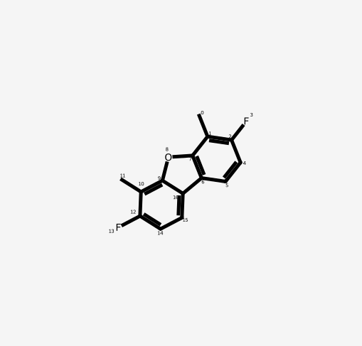 Cc1c(F)ccc2c1oc1c(C)c(F)ccc12